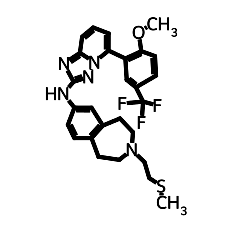 COc1ccc(C(F)(F)F)cc1-c1cccc2nc(Nc3ccc4c(c3)CCN(CCSC)CC4)nn12